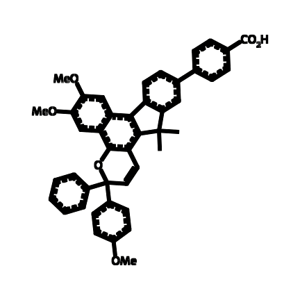 COc1ccc(C2(c3ccccc3)C=Cc3c4c(c5cc(OC)c(OC)cc5c3O2)-c2ccc(-c3ccc(C(=O)O)cc3)cc2C4(C)C)cc1